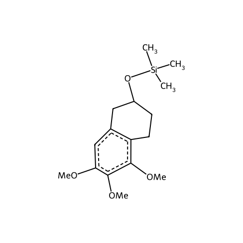 COc1cc2c(c(OC)c1OC)CCC(O[Si](C)(C)C)C2